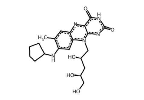 Cc1cc2nc3c(=O)[nH]c(=O)nc-3n(C[C@H](O)C[C@H](O)CO)c2cc1NC1CCCC1